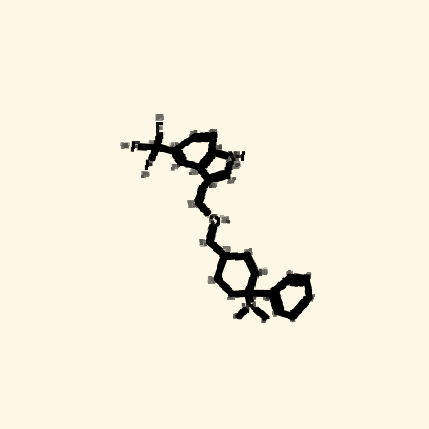 CN(C)C1(c2ccccc2)CCC(COCc2c[nH]c3ccc(C(F)(F)F)cc23)CC1